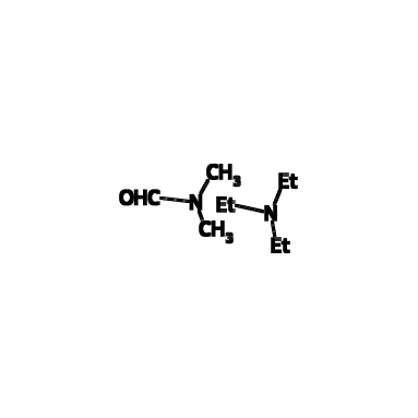 CCN(CC)CC.CN(C)C=O